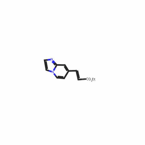 CCOC(=O)C=Cc1ccn2ccnc2c1